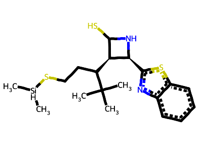 C[SiH](C)SCCC([C@H]1C(S)N[C@H]1c1nc2ccccc2s1)C(C)(C)C